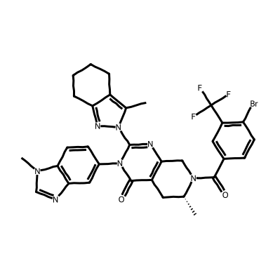 Cc1c2c(nn1-c1nc3c(c(=O)n1-c1ccc4c(c1)ncn4C)C[C@@H](C)N(C(=O)c1ccc(Br)c(C(F)(F)F)c1)C3)CCCC2